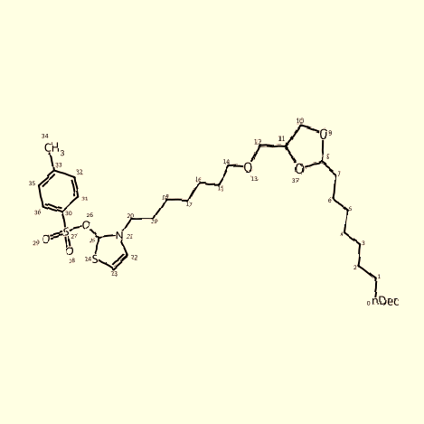 CCCCCCCCCCCCCCCCCC1OCC(COCCCCCCCN2C=CSC2OS(=O)(=O)c2ccc(C)cc2)O1